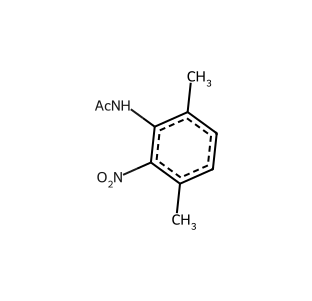 CC(=O)Nc1c(C)ccc(C)c1[N+](=O)[O-]